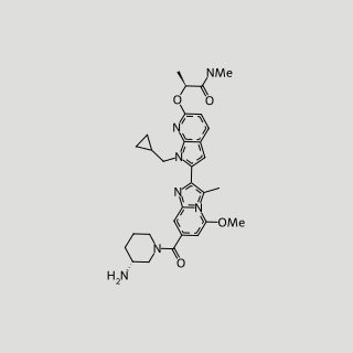 CNC(=O)[C@H](C)Oc1ccc2cc(-c3nc4cc(C(=O)N5CCC[C@@H](N)C5)cc(OC)n4c3C)n(CC3CC3)c2n1